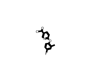 Cc1cc(F)ccc1Oc1ccc(C(=O)Cl)cn1